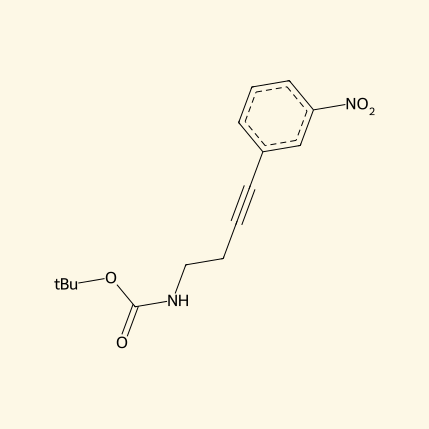 CC(C)(C)OC(=O)NCCC#Cc1cccc([N+](=O)[O-])c1